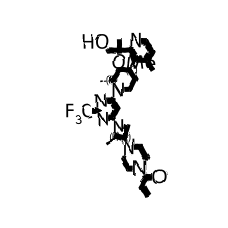 C=CC(=O)N1CCN([C@@H]2CN(c3cc(N4CC[C@H](c5c(C)ccnc5C(C)(CO)OC)C[C@H]4C)nc(C(F)(F)F)n3)[C@@H]2C)CC1